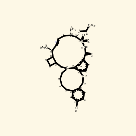 COCC[C@H]1[C@@H](C)C/C=C/[C@H](OC)C2CCC2CN2CCCCc3cc(Cl)ccc3COc3ccc(cc32)C(=O)NS1(=O)=O